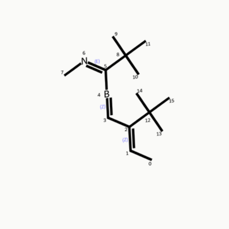 C/C=C(/C=B\C(=N/C)C(C)(C)C)C(C)(C)C